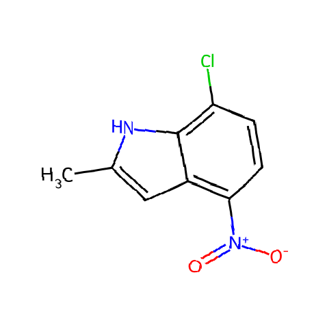 Cc1cc2c([N+](=O)[O-])ccc(Cl)c2[nH]1